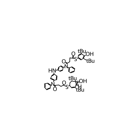 CC(C)(C)C1=CC(SC(=O)CCC(=O)N(c2ccccc2)c2ccc(Nc3ccc(N(C(=O)CCC(=O)Sc4cc(C(C)(C)C)c(O)c(C(C)(C)C)c4)c4ccccc4)cc3)cc2)CCC2(C(C)(C)C)[C@H](O)[C@H]12